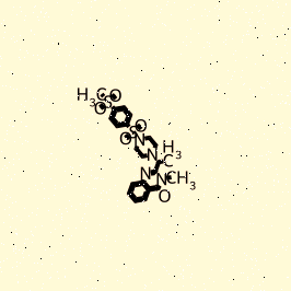 CC(c1nc2ccccc2c(=O)n1C)N1CCN(S(=O)(=O)c2ccc(S(C)(=O)=O)cc2)CC1